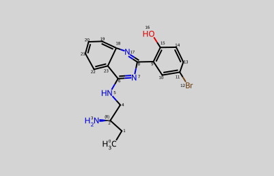 CC[C@@H](N)CNc1nc(-c2cc(Br)ccc2O)nc2ccccc12